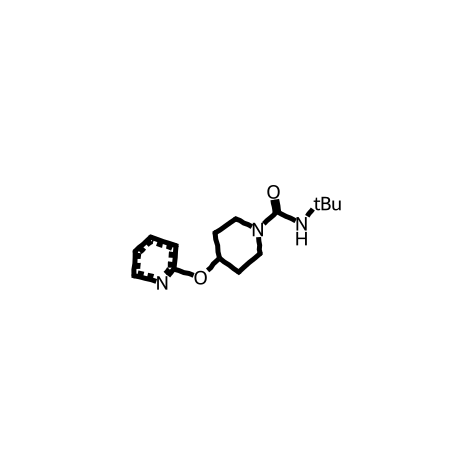 CC(C)(C)NC(=O)N1CCC(Oc2ccccn2)CC1